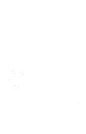 CCCCC(=O)N(Cc1ccc(-c2cc(-c3ccc4ncccc4c3)ccc2-c2nn[nH]n2)cc1)C1(C(=O)O)CCCCC1